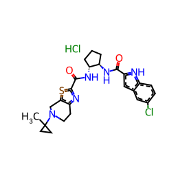 CC1(N2CCc3nc(C(=O)N[C@@H]4CCC[C@H]4NC(=O)c4cc5cc(Cl)ccc5[nH]4)sc3C2)CC1.Cl